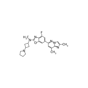 Cc1cn2nc(-c3cc(F)c4nc(N(C)C5CC(N6CCCC6)C5)oc4c3)cc(C)c2n1